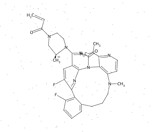 C=CC(=O)N1CCN(c2nc(=O)n3c4nc(c(F)cc24)-c2c(F)cccc2CCCN(C)c2ccnc(C(C)C)c2-3)[C@@H](C)C1